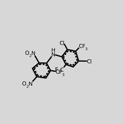 O=[N+]([O-])c1cc([N+](=O)[O-])c(Nc2c(C(F)(F)F)cc(Cl)c(C(F)(F)F)c2Cl)c(C(F)(F)F)c1